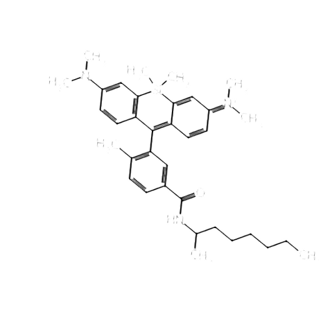 CCCCCCC(C)NC(=O)c1ccc(C)c(C2=C3C=CC(=[N+](C)C)C=C3[Si](C)(C)c3cc(N(C)C)ccc32)c1